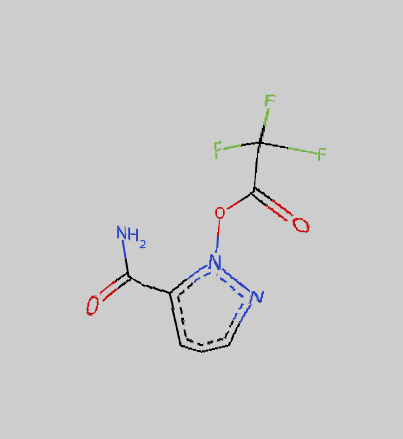 NC(=O)c1ccnn1OC(=O)C(F)(F)F